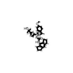 COc1ccc([C@@H](C)NS(=N)(=NC(=O)Nc2c3c(cc4c2CCC4)CCC3)c2cnc(C(C)(C)O)s2)cc1